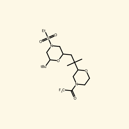 CCS(=O)(=O)N1CC(CC(C)(C)C2CN(C(=O)C(F)(F)F)CCO2)OC(C(C)(C)C)C1